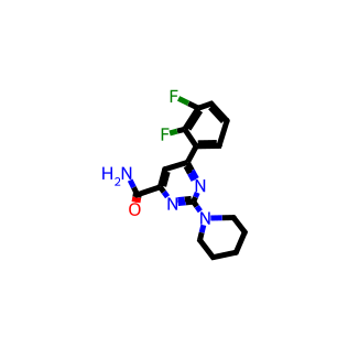 NC(=O)c1cc(-c2cccc(F)c2F)nc(N2CCCCC2)n1